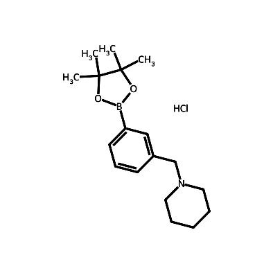 CC1(C)OB(c2cccc(CN3CCCCC3)c2)OC1(C)C.Cl